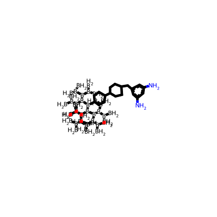 BB(B)B(B(B)B)B(B(B)B)B(B(B(B(B)B)B(B)B)B(B(B)B)B(B)B)B(B(B(B(B)B)B(B)B)B(B(B)B)B(B)B)C1CCC(C2CCC(Cc3cc(N)cc(N)c3)CC2)CC1